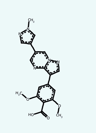 COc1cc(-c2cnn3cc(-c4cnn(C)c4)cnc23)cc(OC)c1C(=O)O